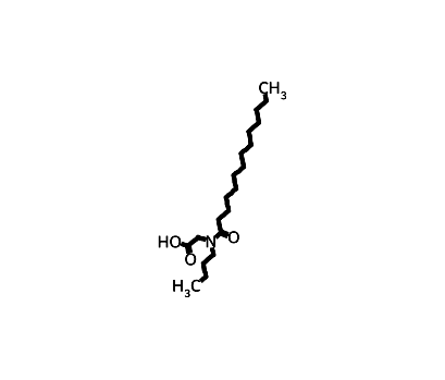 CCCCCCCCCCCCCC(=O)N(CCCC)CC(=O)O